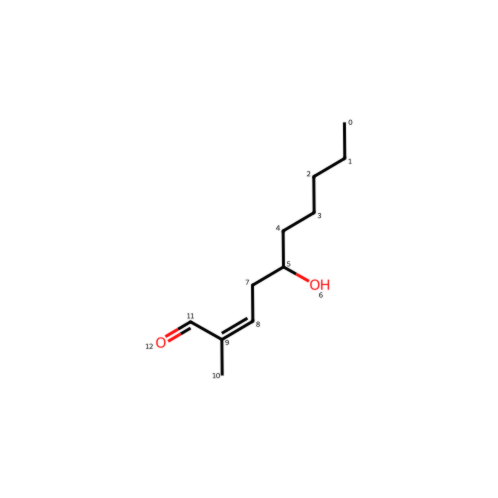 CCCCCC(O)CC=C(C)C=O